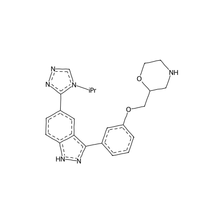 CC(C)n1cnnc1-c1ccc2[nH]nc(-c3cccc(OCC4CNCCO4)c3)c2c1